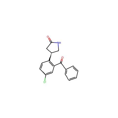 O=C1C[C@H](c2ccc(Cl)cc2C(=O)c2ccccc2)CN1